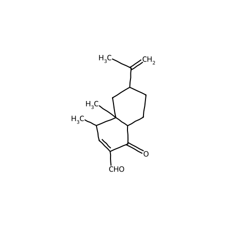 C=C(C)C1CCC2C(=O)C(C=O)=CC(C)C2(C)C1